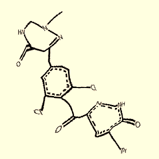 CC(C)c1cc(C(=O)c2c(Cl)cc(C3=NN(C)CNC3=O)cc2Cl)n[nH]c1=O